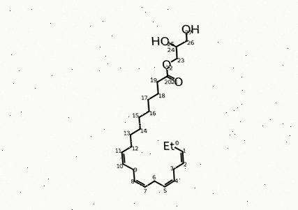 CC/C=C\C/C=C\C/C=C\C/C=C\CCCCCCCCC(=O)OCC(O)CO